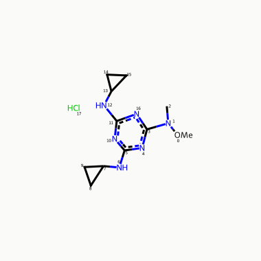 CON(C)c1nc(NC2CC2)nc(NC2CC2)n1.Cl